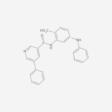 O=C(Nc1cc(Nc2ccccc2)ccc1C(=O)O)c1cncc(-c2ccccc2)c1